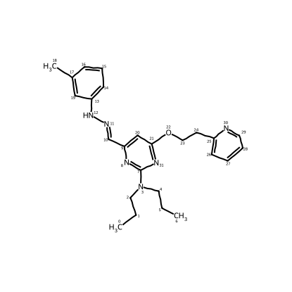 CCCN(CCC)c1nc(/C=N/Nc2cccc(C)c2)cc(OCCc2ccccn2)n1